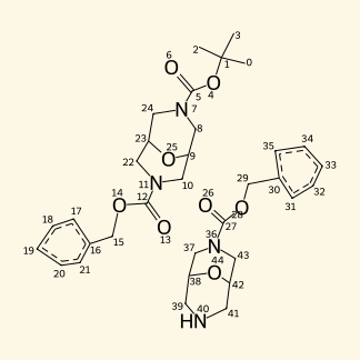 CC(C)(C)OC(=O)N1CC2CN(C(=O)OCc3ccccc3)CC(C1)O2.O=C(OCc1ccccc1)N1CC2CNCC(C1)O2